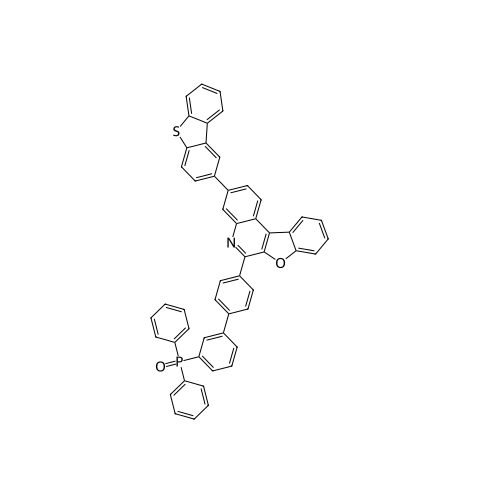 O=P(c1ccccc1)(c1ccccc1)c1cccc(-c2ccc(-c3nc4cc(-c5ccc6sc7ccccc7c6c5)ccc4c4c3oc3ccccc34)cc2)c1